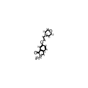 CC(C)N1Cc2ccc(OCCN3CCOCC3)cc2C1=O